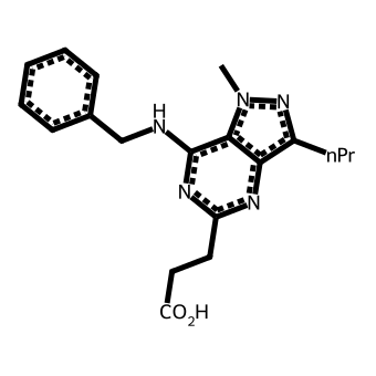 CCCc1nn(C)c2c(NCc3ccccc3)nc(CCC(=O)O)nc12